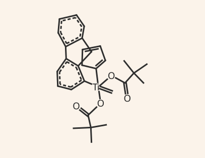 [CH2]=[Ti]([O]C(=O)C(C)(C)C)([O]C(=O)C(C)(C)C)([C]1=CC=CC1)[c]1cccc2c1Cc1ccccc1-2